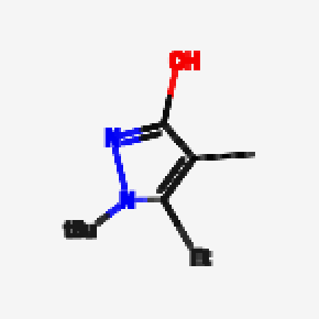 CCc1c(C)c(O)nn1C(C)(C)C